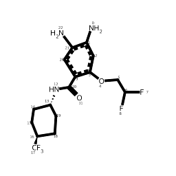 Nc1cc(OCC(F)F)c(C(=O)N[C@H]2CC[C@H](C(F)(F)F)CC2)cc1N